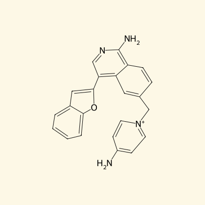 Nc1cc[n+](Cc2ccc3c(N)ncc(-c4cc5ccccc5o4)c3c2)cc1